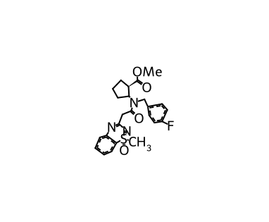 COC(=O)[C@@H]1CCC[C@@H]1N(Cc1ccc(F)cc1)C(=O)CC1=Nc2ccccc2S(C)(=O)=N1